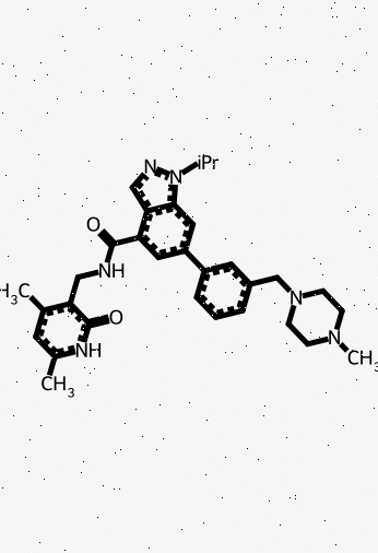 Cc1cc(C)c(CNC(=O)c2cc(-c3cccc(CN4CCN(C)CC4)c3)cc3c2cnn3C(C)C)c(=O)[nH]1